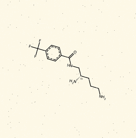 NCCC[C@H](N)CNC(=O)c1ccc(C(F)(F)F)cc1